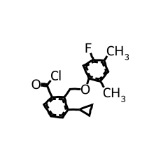 Cc1cc(C)c(OCc2c(C(=O)Cl)cccc2C2CC2)cc1F